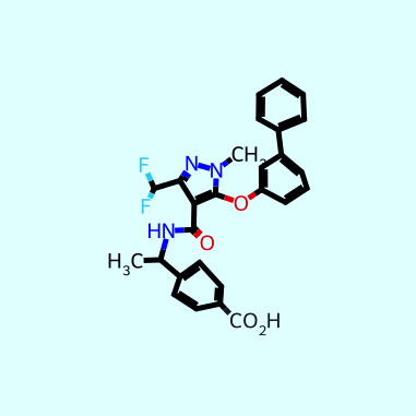 CC(NC(=O)c1c(C(F)F)nn(C)c1Oc1cccc(-c2ccccc2)c1)c1ccc(C(=O)O)cc1